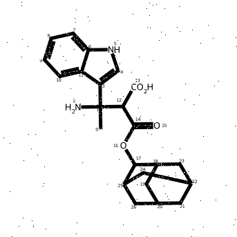 CC(N)(c1c[nH]c2ccccc12)C(C(=O)O)C(=O)OC1C2CC3CC(C2)CC1C3